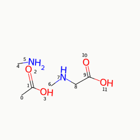 CC(=O)O.CN.CNCC(=O)O